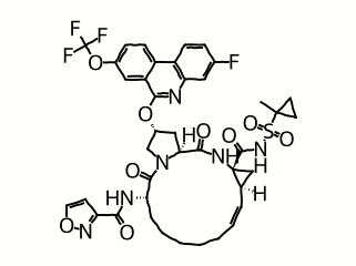 CC1(S(=O)(=O)NC(=O)[C@@]23C[C@H]2/C=C\CCCCC[C@H](NC(=O)c2ccon2)C(=O)N2C[C@H](Oc4nc5cc(F)ccc5c5ccc(OC(F)(F)F)cc45)C[C@H]2C(=O)N3)CC1